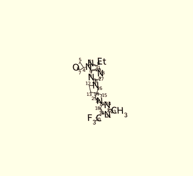 CCc1nn(C2COC2)c2nc(N3CCC4(CN(c5cc(C(F)(F)F)nc(C)n5)C4)C3)cnc12